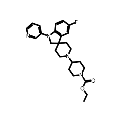 CCOC(=O)N1CCC(N2CCC3(CC2)CN(c2cccnc2)c2ccc(F)cc23)CC1